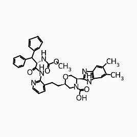 COC(=O)N[C@H](C(=O)Nc1ncccc1CC[C@@H]1CN(C(=O)O)[C@H](c2nc3cc(C)c(C)cc3[nH]2)CO1)C(c1ccccc1)c1ccccc1